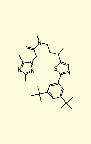 C=C(Cn1nc(C)nc1C)N(C)CCC(C)c1cnc(-c2cc(C(C)(C)C)cc(C(C)(C)C)c2)s1